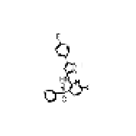 O=S(=O)(c1ccccc1)c1ccc(Cl)nc1Nc1cc(-c2ccc(F)cc2)[nH]n1